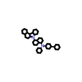 c1ccc(-c2ccc(N(c3ccccc3)c3cccc4c(-n5c6ccccc6c6c7ccccc7ccc65)cccc34)cc2)cc1